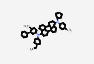 C=Cc1ccc(N(c2ccc(C)c(-c3ccccc3)c2)c2ccc3c4cccc5c(N(c6ccccc6)c6ccc(C)cc6)ccc(c6cccc2c63)c54)cc1